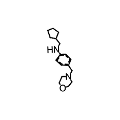 c1cc(NCC2CCCC2)ccc1CN1CCOCC1